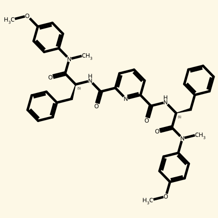 COc1ccc(N(C)C(=O)[C@H](Cc2ccccc2)NC(=O)c2cccc(C(=O)N[C@@H](Cc3ccccc3)C(=O)N(C)c3ccc(OC)cc3)n2)cc1